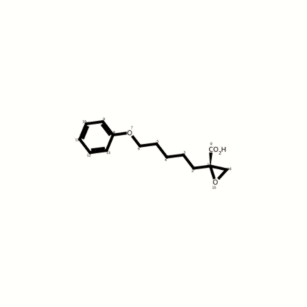 O=C(O)[C@@]1(CCCCCOc2ccccc2)CO1